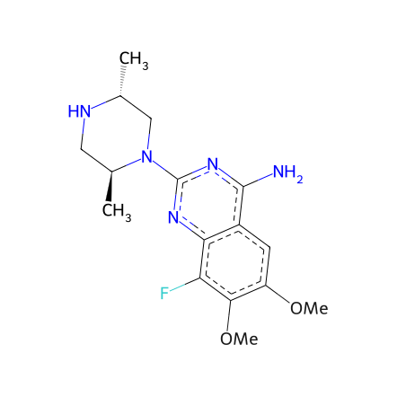 COc1cc2c(N)nc(N3C[C@@H](C)NC[C@@H]3C)nc2c(F)c1OC